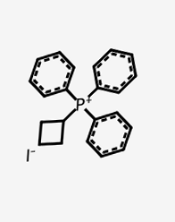 [I-].c1ccc([P+](c2ccccc2)(c2ccccc2)C2CCC2)cc1